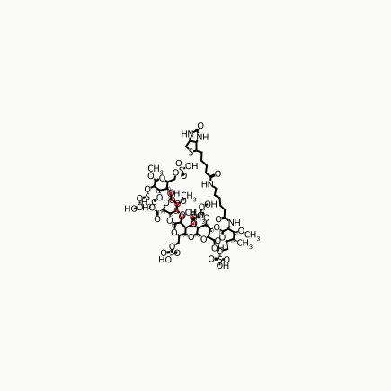 COC1C(OC)[C@H](O[C@H]2OC(COS(=O)(=O)O)[C@@H](O[C@@H]3OC(C(=O)O)[C@@H](O[C@@H]4OC(COS(=O)(=O)O)[C@@H](C)[C@H](OC)C4NC(=O)CCCCCNC(=O)CCCCC4SCC5NC(=O)NC54)[C@H](OC)C3OC)C(OSOOO)C2OSOOO)[C@H](C(=O)O)O[C@@H]1O[C@@H]1C(COS(=O)(=O)O)O[C@H](OC)C(OSOOO)[C@H]1OC